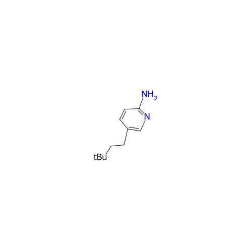 CC(C)(C)CCc1ccc(N)nc1